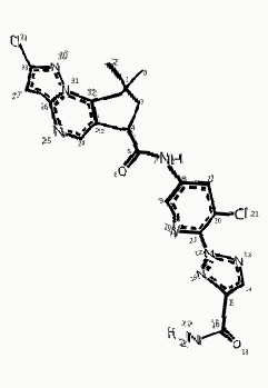 CC1(C)CC(C(=O)Nc2cnc(-n3ncc(C(N)=O)n3)c(Cl)c2)c2cnc3cc(Cl)nn3c21